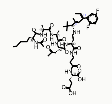 C/C=C(\C=C(/C)[C@H](NCC[C@H](NC(=O)[C@H](CC(C)=O)NC(=O)[C@H](C)NC(=O)[C@H](C)NC(=O)[C@H](CCCCC)NC(C)=O)C(=O)NCCC(=O)N[C@@H](CCC(=O)O)C(=O)O)C(C)(C)C)c1cc(F)ccc1F